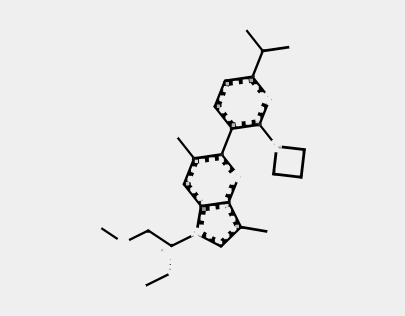 CC[C@H](COC)n1cc(C)c2nc(-c3ccc(C(C)C)nc3N3CCC3)c(C)cc21